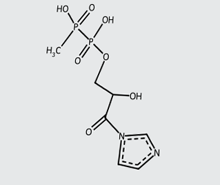 CP(=O)(O)P(=O)(O)OCC(O)C(=O)n1ccnc1